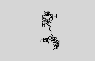 C[SiH](C)O[Si](C)(CCCCCC[Si]1(C)O[SiH](C)O[SiH](C)O[SiH](C)O1)O[Si](C)(C)O[Si](C)(C)C